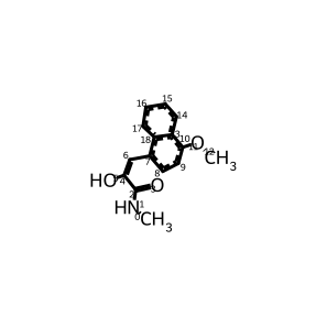 CNC(=O)/C(O)=C\c1ccc(OC)c2ccccc12